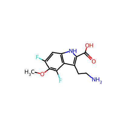 COc1c(F)cc2[nH]c(C(=O)O)c(CCN)c2c1F